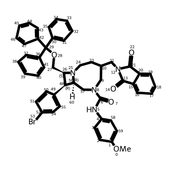 COc1ccc(NC(=O)N2CC(CN3C(=O)c4ccccc4C3=O)CCN3[C@H](COC(c4ccccc4)(c4ccccc4)c4ccccc4)[C@H](c4ccc(Br)cc4)[C@@H]3C2)cc1